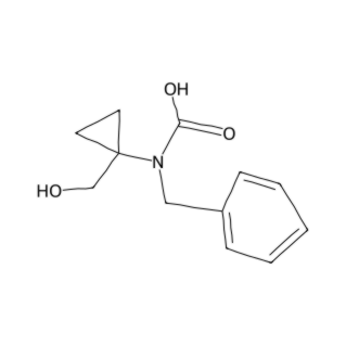 O=C(O)N(Cc1ccccc1)C1(CO)CC1